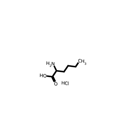 CCCCC(N)C(=O)O.Cl